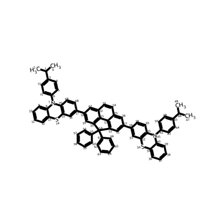 CC(C)c1ccc(N2c3ccccc3Sc3cc(-c4cc5c6c(ccc7cc(-c8ccc9c(c8)Sc8ccccc8N9c8ccc(C(C)C)cc8)cc(c76)C5(c5ccccc5)c5ccccc5)c4)ccc32)cc1